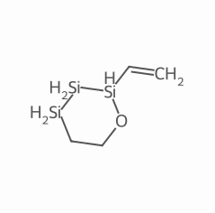 C=C[SiH]1OCC[SiH2][SiH2]1